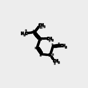 C=CN(C)/C=C\C(C)=C(C)C